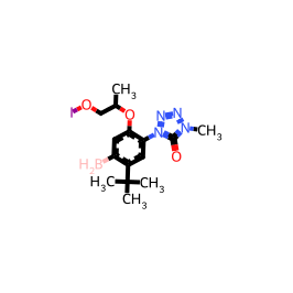 Bc1cc(OC(C)COI)c(-n2nnn(C)c2=O)cc1C(C)(C)C